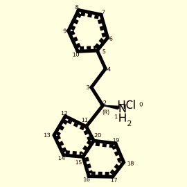 Cl.N[C@H](CCc1ccccc1)c1cccc2ccccc12